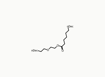 CCCCCCCCCCCCCCCC(=O)OCCOCCCCCCCCCCCC